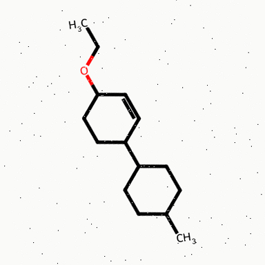 CCOC1C=CC(C2CCC(C)CC2)CC1